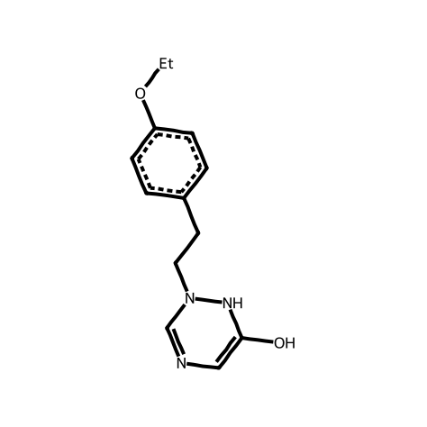 CCOc1ccc(CCN2C=NC=C(O)N2)cc1